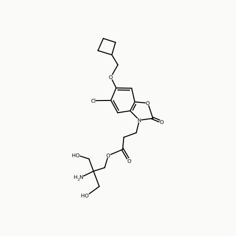 NC(CO)(CO)COC(=O)CCn1c(=O)oc2cc(OCC3CCC3)c(Cl)cc21